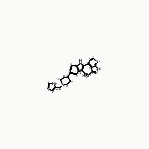 Cc1n[nH]c2nccc(-c3[nH]c4ccc(C5CCN(Cc6cnc[nH]6)CC5)cc4c3C(C)C)c12